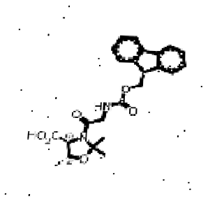 C[C@H]1OC(C)(C)N(C(=O)CNC(=O)OCC2c3ccccc3-c3ccccc32)[C@@H]1C(=O)O